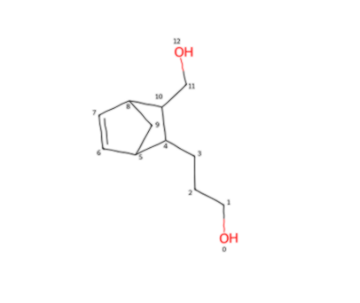 OCCCC1C2C=CC(C2)C1CO